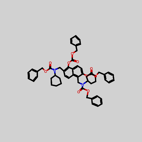 O=C(OCc1ccccc1)Oc1ccc2c(OC(=O)OCc3ccccc3)c(CN(C(=O)OCc3ccccc3)C3CCCCC3)ccc2c1CN(C(=O)OCc1ccccc1)C1CCCCC1